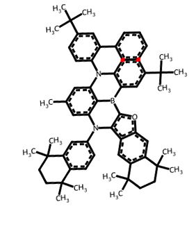 Cc1cc2c3c(c1)N(c1ccc4c(c1)C(C)(C)CCC4(C)C)c1c(oc4cc5c(cc14)C(C)(C)CCC5(C)C)B3c1cc(C(C)(C)C)ccc1N2c1ccc(C(C)(C)C)cc1-c1ccccc1